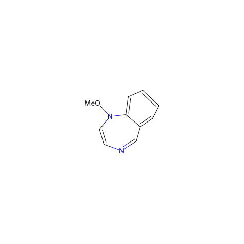 CON1C=CN=Cc2ccccc21